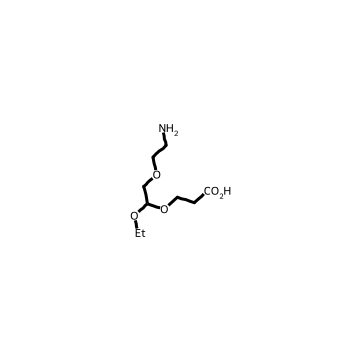 CCOC(COCCN)OCCC(=O)O